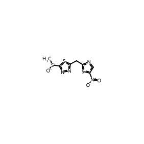 C[S+]([O-])c1nnc(Cc2ncc([N+](=O)[O-])s2)s1